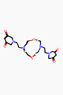 O=C1CC(=O)CN(CCN2CCOCCN(CCN3CC(=O)CC(=O)C3)CCOCC2)C1